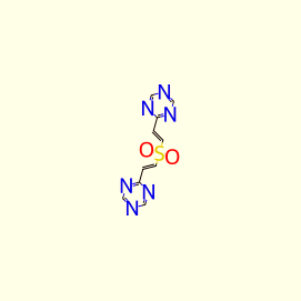 O=S(=O)(C=Cc1ncncn1)C=Cc1ncncn1